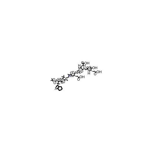 C/C(=C\CN(C)C(=O)C(NC(=O)[C@@H](N(C)C(=O)OC(C)(C)C)C(C)(C)c1cn(C)c2ccccc12)C(C)(C)C)C(=O)N[C@@H](CCC(=O)O)C(=O)NCC(=O)N[C@@H](CCC(=O)O)C(=O)NCC(=O)N[C@@H](CCC(=O)O)C(=O)O